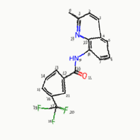 Cc1ccc2cccc(NC(=O)c3cccc(C(F)(F)F)c3)c2n1